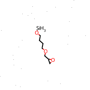 [SiH3]OCCCCOCC1CO1